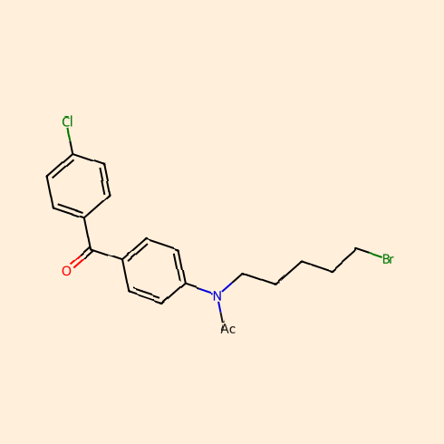 CC(=O)N(CCCCCBr)c1ccc(C(=O)c2ccc(Cl)cc2)cc1